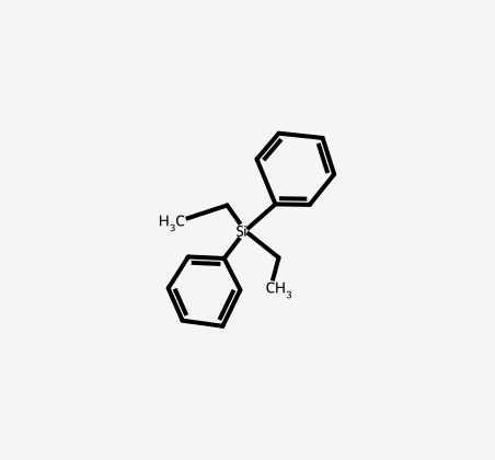 CC[Si](CC)(c1ccccc1)c1ccccc1